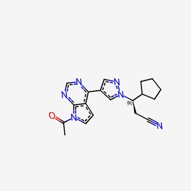 CC(=O)n1ccc2c(-c3cnn([C@H](CC#N)C4CCCC4)c3)ncnc21